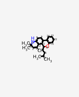 CC1=CC(C)(C)Nc2ccc3c(c21)C(CCC(C)C)Oc1ccccc1-3